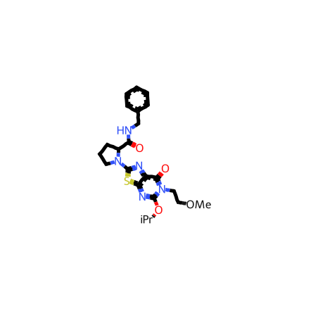 COCCn1c(OC(C)C)nc2sc(N3CCCC3C(=O)NCc3ccccc3)nc2c1=O